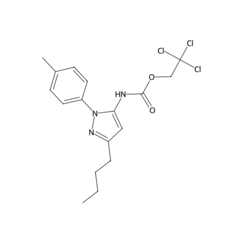 CCCCc1cc(NC(=O)OCC(Cl)(Cl)Cl)n(-c2ccc(C)cc2)n1